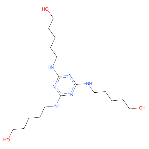 OCCCCCNc1nc(NCCCCCO)nc(NCCCCCO)n1